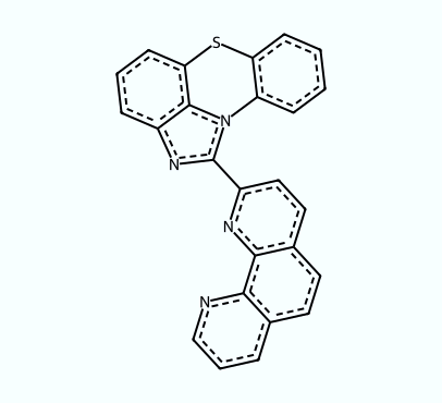 c1ccc2c(c1)Sc1cccc3nc(-c4ccc5ccc6cccnc6c5n4)n-2c13